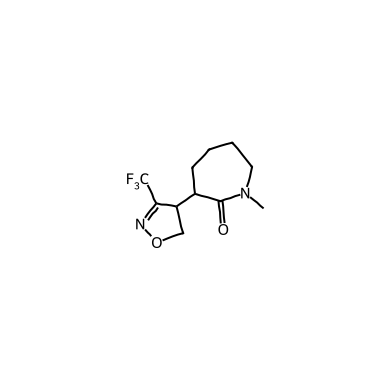 CN1CCCCC(C2CON=C2C(F)(F)F)C1=O